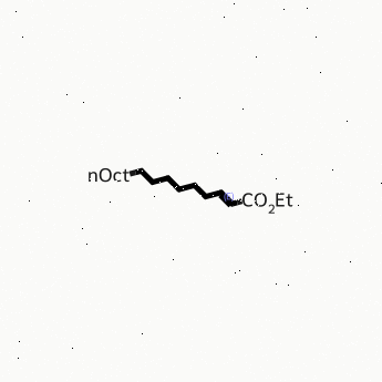 CCCCCCCCCCCCCC/C=C/C(=O)OCC